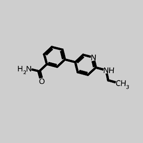 CCNc1ccc(-c2cccc(C(N)=O)c2)cn1